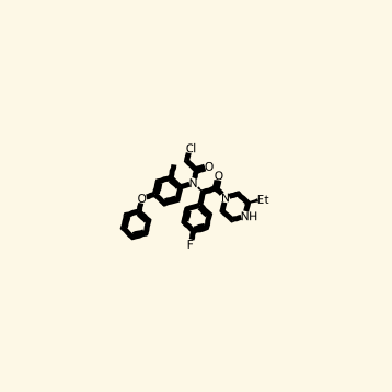 CC[C@@H]1CN(C(=O)[C@H](c2ccc(F)cc2)N(C(=O)CCl)c2ccc(Oc3ccccc3)cc2C)CCN1